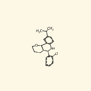 CC(C)c1ccc2c(c1)C1OCCCC1C(c1ccccc1Cl)N2